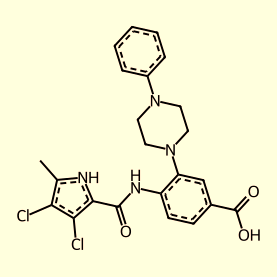 Cc1[nH]c(C(=O)Nc2ccc(C(=O)O)cc2N2CCN(c3ccccc3)CC2)c(Cl)c1Cl